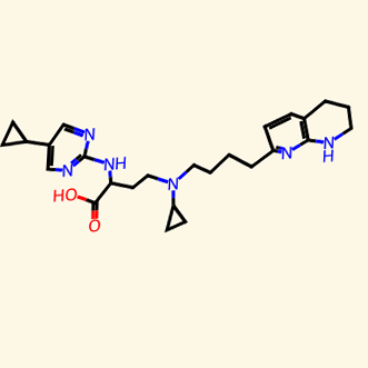 O=C(O)C(CCN(CCCCc1ccc2c(n1)NCCC2)C1CC1)Nc1ncc(C2CC2)cn1